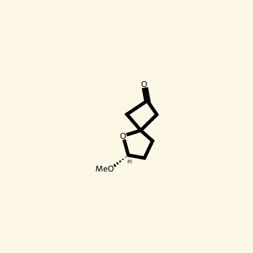 CO[C@H]1CCC2(CC(=O)C2)O1